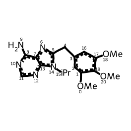 COc1cc(Cc2nc3c(N)ncnc3n2C(C)C)cc(OC)c1OC